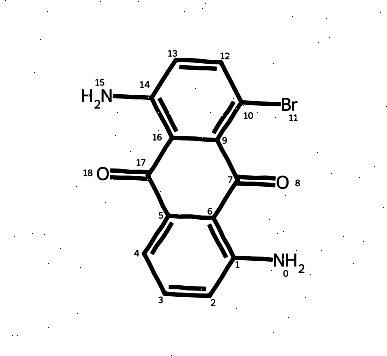 Nc1cccc2c1C(=O)c1c(Br)ccc(N)c1C2=O